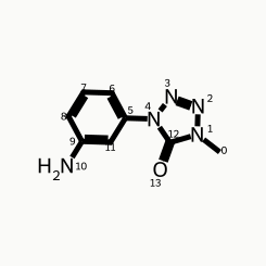 Cn1nnn(-c2cccc(N)c2)c1=O